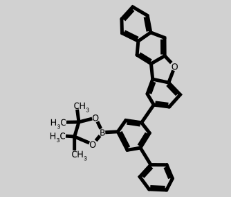 CC1(C)OB(c2cc(-c3ccccc3)cc(-c3ccc4oc5cc6ccccc6cc5c4c3)c2)OC1(C)C